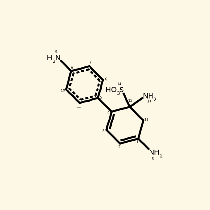 NC1=CC=C(c2ccc(N)cc2)C(N)(S(=O)(=O)O)C1